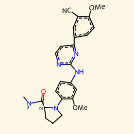 COc1ccc(-c2ccnc(Nc3ccc(N4CCC[C@H]4C(=O)N(C)C)c(OC)c3)n2)cc1C#N